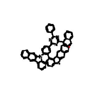 c1ccc(-c2nc(-c3ccc(-n4c5ccccc5c5cc6ccccc6cc54)c(-c4cccc5sc6cc7ccccc7cc6c45)c3)nc(-c3cccc4ccccc34)n2)cc1